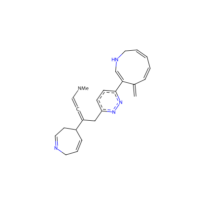 C=C1/C=C\C=C/CN/C=C\1c1ccc(CC(=C=CNC)C2C=CCN=CC2)nn1